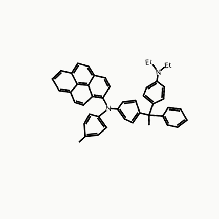 CCN(CC)c1ccc(C(C)(c2ccccc2)c2ccc(N(c3ccc(C)cc3)c3ccc4ccc5cccc6ccc3c4c56)cc2)cc1